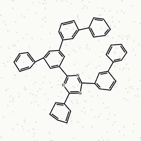 c1ccc(-c2cccc(-c3cc(-c4ccccc4)cc(-c4nc(-c5ccccc5)nc(-c5cccc(-c6ccccc6)c5)n4)c3)c2)cc1